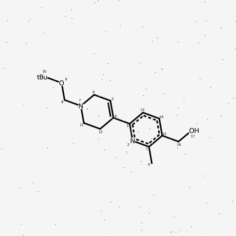 Cc1nc(C2=CCN(COC(C)(C)C)CC2)ccc1CO